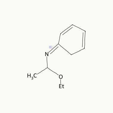 CCOC(C)/N=C1/C=CC=CC1